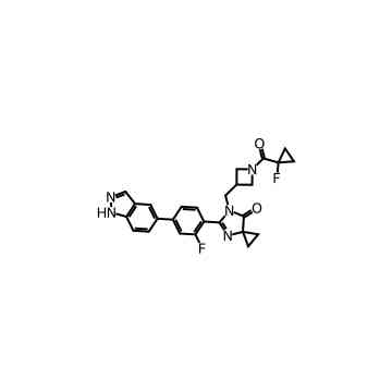 O=C(N1CC(CN2C(=O)C3(CC3)N=C2c2ccc(-c3ccc4[nH]ncc4c3)cc2F)C1)C1(F)CC1